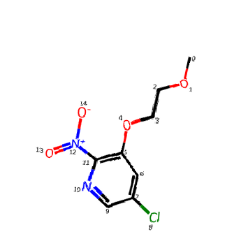 COCCOc1cc(Cl)cnc1[N+](=O)[O-]